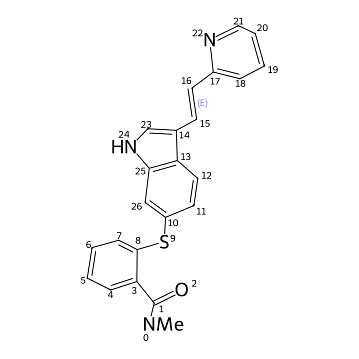 CNC(=O)c1ccccc1Sc1ccc2c(/C=C/c3ccccn3)c[nH]c2c1